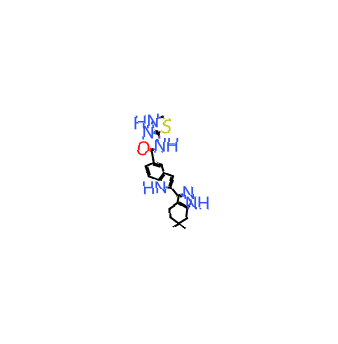 CC1(C)CCc2c(-c3cc4cc(C(=O)NC5=NNCS5)ccc4[nH]3)n[nH]c2C1